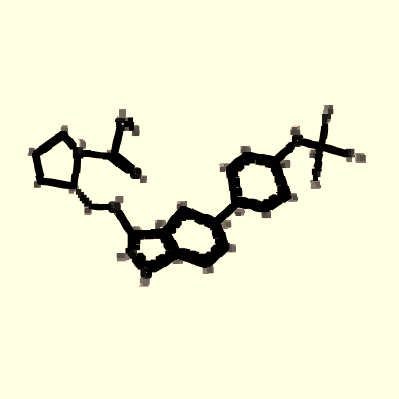 CC(=O)N1CCC[C@H]1COc1noc2ccc(-c3ccc(OC(F)(F)F)cc3)cc12